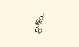 O=S(=O)(NCc1ccnc2ncccc12)c1ccc(I)cc1